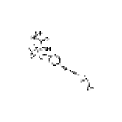 C[S+]([O-])C(C)(C)[C@H](NC(=O)c1ccc(C#CC#CC2CC(CO)C2)cc1)C(=O)NO